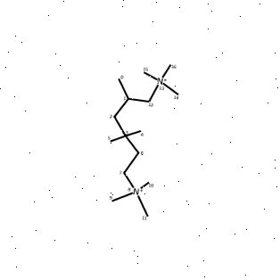 CC(CC(C)(C)CC[N+](C)(C)C)C[N+](C)(C)C